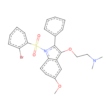 COc1ccc2c(c1)c(OCCN(C)C)c(-c1ccccc1)n2S(=O)(=O)c1ccccc1Br